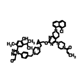 C=CC(=O)N1CCN(c2nc(OCC3(CN4CCN(Cc5ccc(-n6c(C=O)nnc6-c6cc(C(C)C)c(O)cc6C)cc5)CC4)CC3)nc3c2CCN(c2cccc4cccc(Cl)c24)C3)CC1